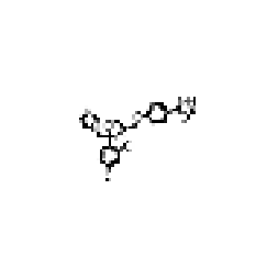 Clc1ccc([C@]2(Cn3ccnc3)OC[C@@H](COc3ccc(-c4nnco4)cc3)O2)c(Cl)c1